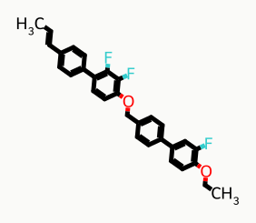 C/C=C/c1ccc(-c2ccc(OCc3ccc(-c4ccc(OCC)c(F)c4)cc3)c(F)c2F)cc1